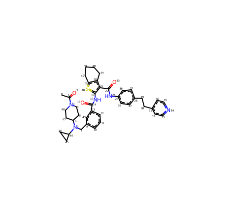 CC(=O)N1CCC(N(Cc2cccc(C(=O)Nc3sc4c(c3C(=O)Nc3ccc(CCc5ccncc5)cc3)CCCC4)c2)C2CC2)CC1